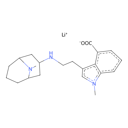 CN1C2CCCC1CC(NCCc1cn(C)c3cccc(C(=O)[O-])c13)C2.[Li+]